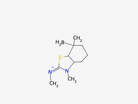 BC1(C)CCCC2C1S/C(=N/C)N2C